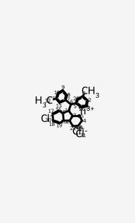 Cc1cccc(C(c2cccc(C)c2)C2C3C=CC=CC3C3CCC[CH]([Ti+3])C32)c1.[Cl-].[Cl-].[Cl-]